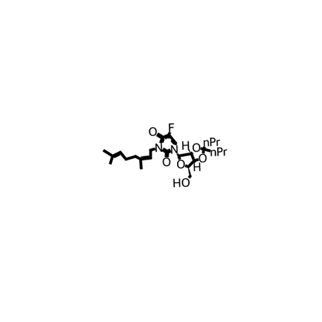 CCCC1(CCC)O[C@H]2[C@H](O1)[C@@H](CO)O[C@H]2n1cc(F)c(=O)n(C/C=C(/C)CCC=C(C)C)c1=O